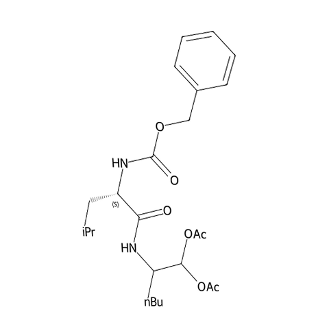 CCCCC(NC(=O)[C@H](CC(C)C)NC(=O)OCc1ccccc1)C(OC(C)=O)OC(C)=O